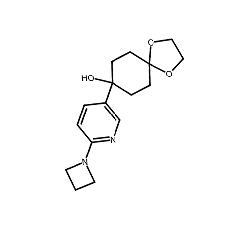 OC1(c2ccc(N3CCC3)nc2)CCC2(CC1)OCCO2